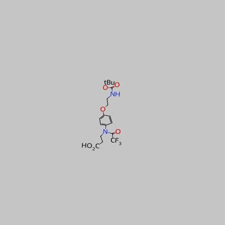 CC(C)(C)OC(=O)NCCOc1ccc(N(CCC(=O)O)C(=O)C(F)(F)F)cc1